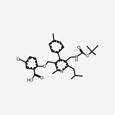 Cc1ccc(-c2c(COc3ccc(Cl)cc3C(=O)O)c(C)nc(CC(C)C)c2CNC(=O)OC(C)(C)C)cc1